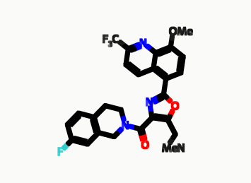 CNCc1oc(-c2ccc(OC)c3nc(C(F)(F)F)ccc23)nc1C(=O)N1CCc2ccc(F)cc2C1